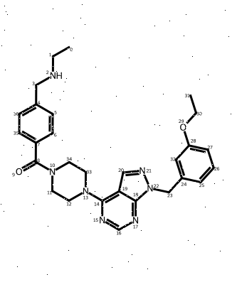 CCNCc1ccc(C(=O)N2CCN(c3ncnc4c3cnn4Cc3cccc(OCC)c3)CC2)cc1